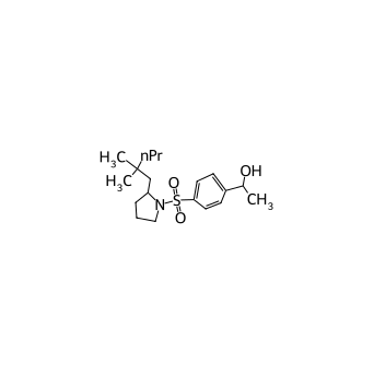 CCCC(C)(C)CC1CCCN1S(=O)(=O)c1ccc(C(C)O)cc1